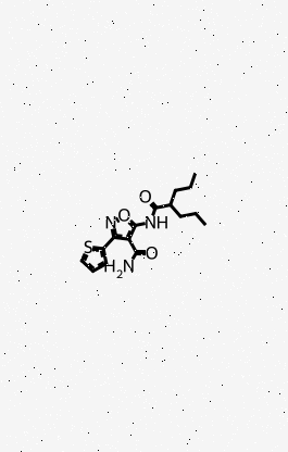 CCCC(CCC)C(=O)Nc1onc(-c2cccs2)c1C(N)=O